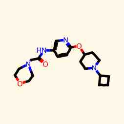 O=C(CN1CCOCC1)Nc1ccc(OC2CCN(C3CCC3)CC2)nc1